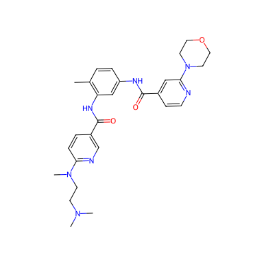 Cc1ccc(NC(=O)c2ccnc(N3CCOCC3)c2)cc1NC(=O)c1ccc(N(C)CCN(C)C)nc1